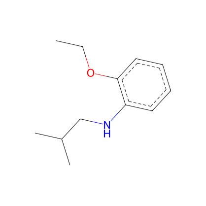 CCOc1ccccc1NCC(C)C